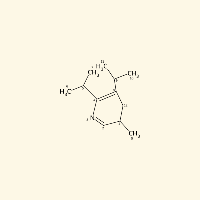 CC1C=NC(C(C)C)=C(C(C)C)C1